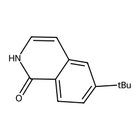 CC(C)(C)c1ccc2c(=O)[nH]ccc2c1